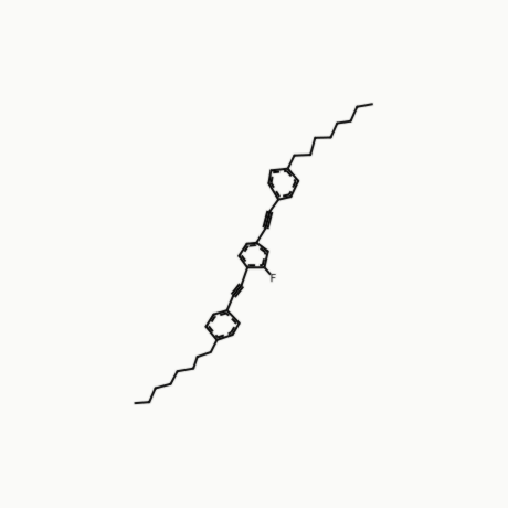 CCCCCCCCc1ccc(C#Cc2ccc(C#Cc3ccc(CCCCCCCC)cc3)c(F)c2)cc1